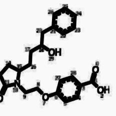 O=C(O)c1ccc(OCCN2C(=O)CCC2CCC(O)Cc2ccccc2)cc1